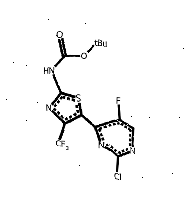 CC(C)(C)OC(=O)Nc1nc(C(F)(F)F)c(-c2nc(Cl)ncc2F)s1